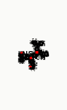 CC1(C)c2ccccc2-c2cc3c4cc(N(c5ccccc5)c5ccccc5)ccc4n(-c4cc(C#N)c(-n5c6ccc(-n7c8ccccc8c8ccccc87)cc6c6cc7c(cc65)sc5ccccc57)cc4C#N)c3cc21